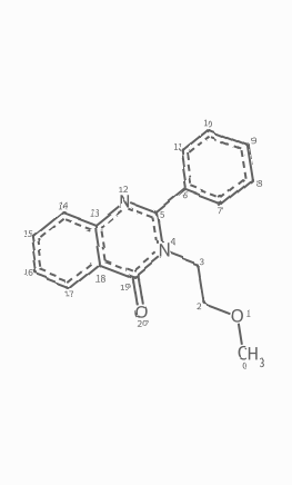 COCCn1c(-c2ccccc2)nc2ccccc2c1=O